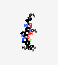 CN1CC[C@@]2(C[C@@H]2C(=O)Nc2cc(-c3ccnc(-n4ncc5cc(C(C)(C)C)cc(F)c5c4=O)c3CO)cn(C)c2=O)C1